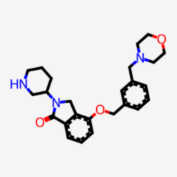 O=C1c2cccc(OCc3cccc(CN4CCOCC4)c3)c2CN1C1CCCNC1